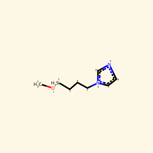 CO[SiH2]CCCn1ccnc1